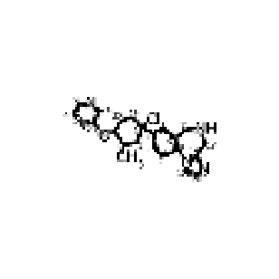 CC1CC(Cl)(c2ccc3c(c2)CNCc2nncn2-3)CCC1Oc1cnccn1